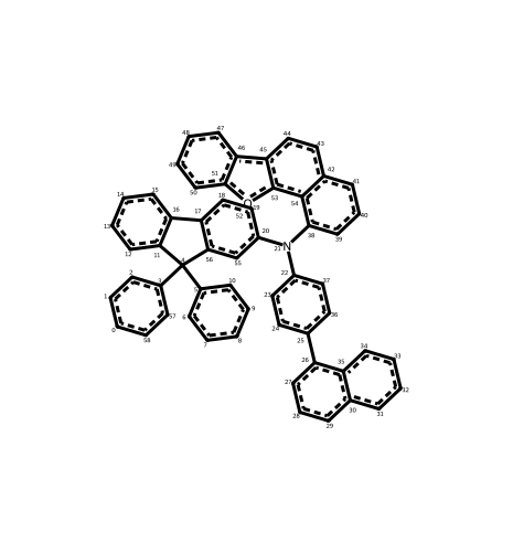 c1ccc(C2(c3ccccc3)c3ccccc3-c3ccc(N(c4ccc(-c5cccc6ccccc56)cc4)c4cccc5ccc6c7ccccc7oc6c45)cc32)cc1